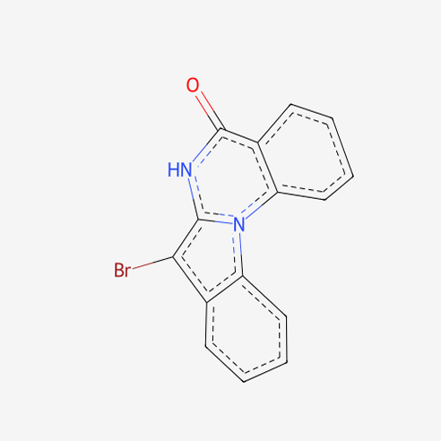 O=c1[nH]c2c(Br)c3ccccc3n2c2ccccc12